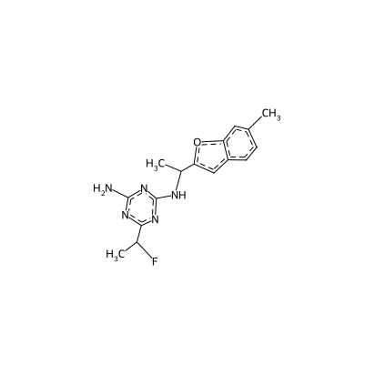 Cc1ccc2cc(C(C)Nc3nc(N)nc(C(C)F)n3)oc2c1